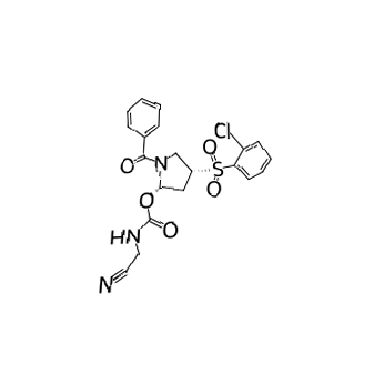 N#CCNC(=O)O[C@H]1C[C@@H](S(=O)(=O)c2ccccc2Cl)CN1C(=O)c1ccccc1